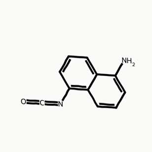 Nc1cccc2c(N=C=O)cccc12